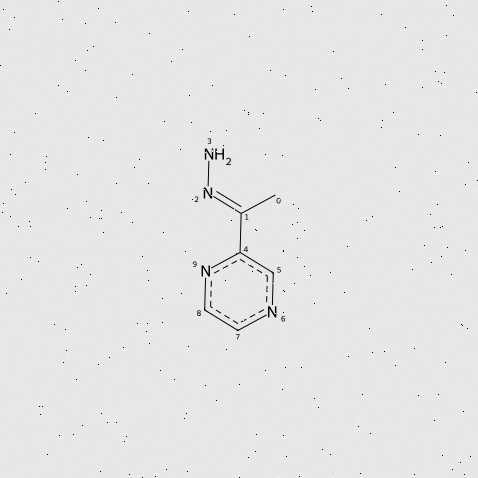 CC(=NN)c1cnccn1